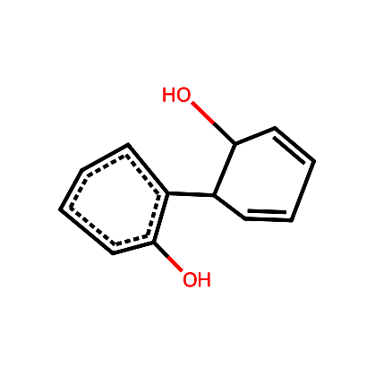 Oc1ccccc1C1C=CC=CC1O